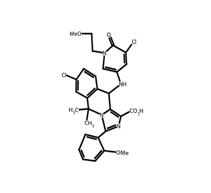 COCCn1cc(NC2c3ccc(Cl)cc3C(C)(C)n3c(-c4ccccc4OC)nc(C(=O)O)c32)cc(Cl)c1=O